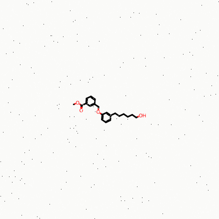 COC(=O)c1cccc(COc2cccc(CCCCCCO)c2)c1